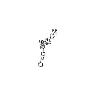 CC(C)(C)N/C(=N/C(=O)c1ccc(C(F)(F)F)cc1)Nc1cc(-c2ccc(OCc3ccccc3)cc2)n[nH]1